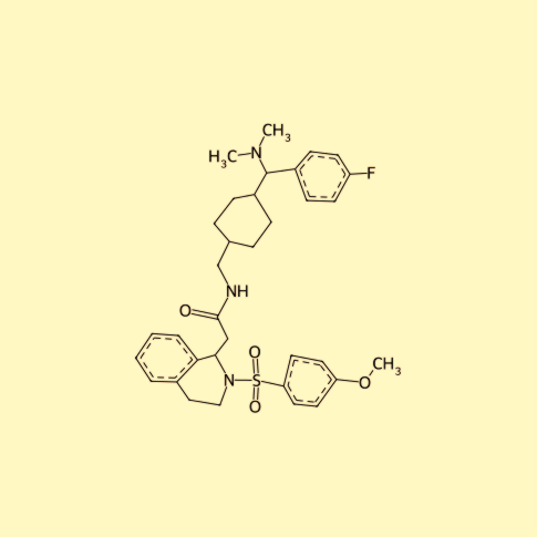 COc1ccc(S(=O)(=O)N2CCc3ccccc3C2CC(=O)NCC2CCC(C(c3ccc(F)cc3)N(C)C)CC2)cc1